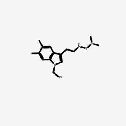 Cc1cc2c(CCNSN(C)C)cn(CC(C)C)c2cc1C